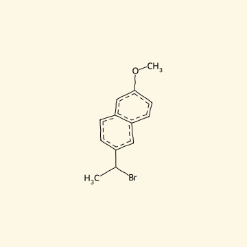 COc1ccc2cc(C(C)Br)ccc2c1